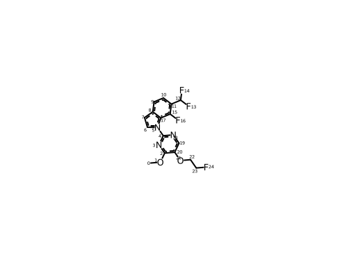 COc1nc(-n2ccc3ccc(C(F)F)c(F)c32)ncc1OCCF